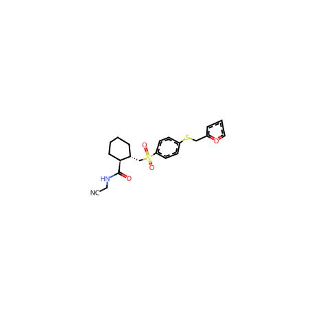 N#CCNC(=O)[C@H]1CCCC[C@@H]1CS(=O)(=O)c1ccc(SCc2ccco2)cc1